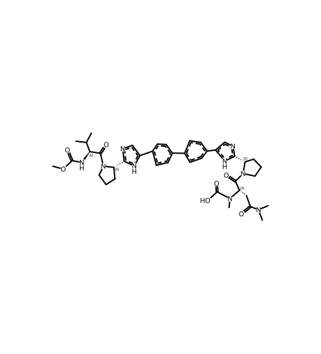 COC(=O)N[C@H](C(=O)N1CCC[C@H]1c1ncc(-c2ccc(-c3ccc(-c4cnc([C@@H]5CCCN5C(=O)[C@H](CC(=O)N(C)C)N(C)C(=O)O)[nH]4)cc3)cc2)[nH]1)C(C)C